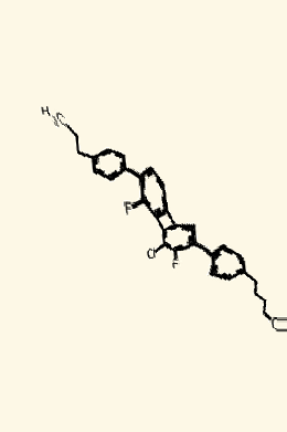 CCCCCc1ccc(-c2cc3c(c(Cl)c2F)-c2c-3ccc(-c3ccc(CCC)cc3)c2F)cc1